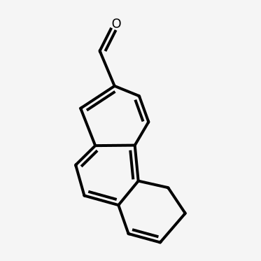 O=Cc1ccc2c3c(ccc2c1)C=CCC3